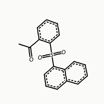 CC(=O)c1ccccc1S(=O)(=O)c1cccc2ccccc12